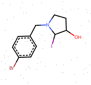 OC1CCN(Cc2ccc(Br)cc2)C1I